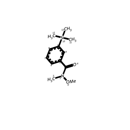 CON(C)C(=O)c1cccc([Si](C)(C)C)c1